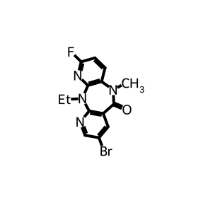 CCN1c2ncc(Br)cc2C(=O)N(C)c2ccc(F)nc21